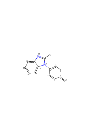 C=C/C=C\C(=C/C)n1c(C)nc2ccccc21